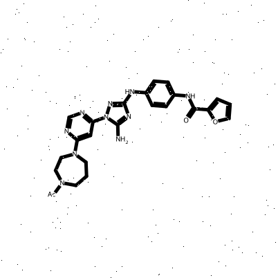 CC(=O)N1CCCN(c2cc(-n3nc(Nc4ccc(NC(=O)c5ccco5)cc4)nc3N)ncn2)CC1